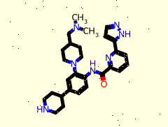 CN(C)CC1CCN(c2cc(C3CCNCC3)ccc2NC(=O)c2cccc(-c3ccn[nH]3)n2)CC1